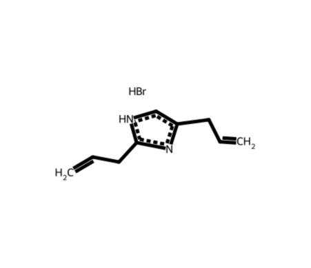 Br.C=CCc1c[nH]c(CC=C)n1